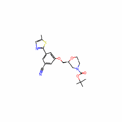 Cc1cnc(-c2cc(C#N)cc(OC[C@@H]3CN(C(=O)OC(C)(C)C)CCO3)c2)s1